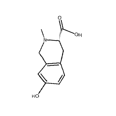 CN1Cc2cc(O)ccc2C[C@H]1C(=O)O